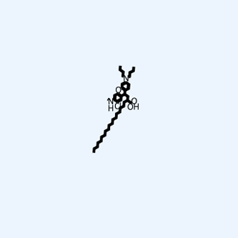 CCCCCCCCCCCCCCCCCCC(CC1c2ccc(N(CCCC)CCCC)cc2Oc2cc(NC)c(Cl)cc21)C(=O)O